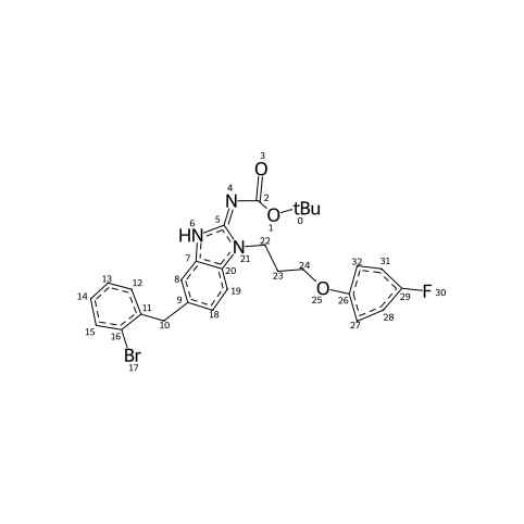 CC(C)(C)OC(=O)N=c1[nH]c2cc(Cc3ccccc3Br)ccc2n1CCCOc1ccc(F)cc1